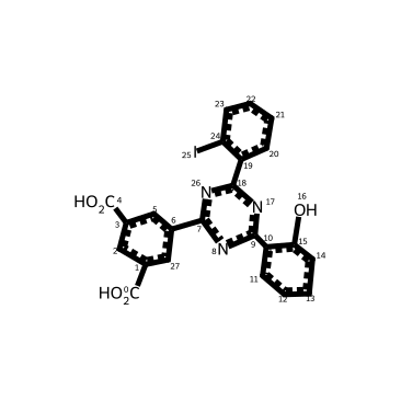 O=C(O)c1cc(C(=O)O)cc(-c2nc(-c3ccccc3O)nc(-c3ccccc3I)n2)c1